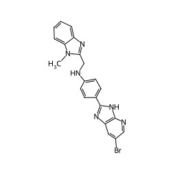 Cn1c(CNc2ccc(-c3nc4cc(Br)cnc4[nH]3)cc2)nc2ccccc21